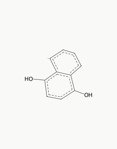 Oc1ccc(O)c2ccc[c]c12